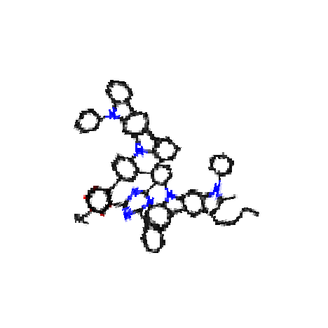 C=C/C=C\c1c(C)n(-c2ccccc2)c2cc3c(cc12)c1ccccc1n3-c1cccc(-c2cc(-c3ccc(C#N)cc3)ccc2-n2c3ccccc3c3cc4c5ccccc5n(-c5ccccc5)c4cc32)c1-c1nc(-c2ccccc2)nc(-c2ccccc2)n1